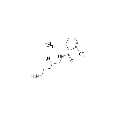 Cl.Cl.NCCC[C@H](N)CNC(=O)c1ccccc1C(F)(F)F